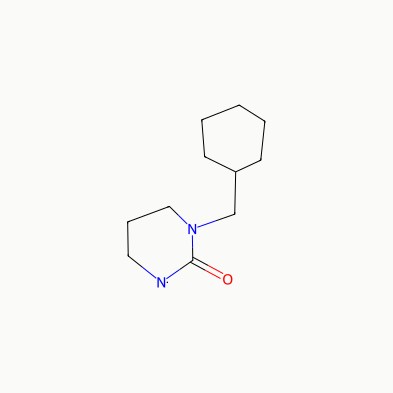 O=C1[N]CCCN1CC1CCCCC1